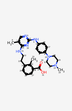 Cc1cnc(Nc2ccc(N3CCN(C)CC3)cc2)nc1NCCc1cccc(C(=O)O)c1C